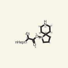 CCCCCCCC(CC)C(=O)ON1CCCC12CCNCC2